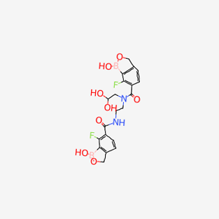 O=C(NCCN(CC(O)O)C(=O)c1ccc2c(c1F)B(O)OC2)c1ccc2c(c1F)B(O)OC2